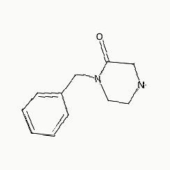 O=C1C[N]CCN1Cc1ccccc1